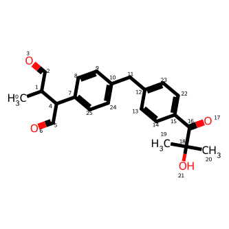 CC(C=O)C(C=O)c1ccc(Cc2ccc(C(=O)C(C)(C)O)cc2)cc1